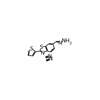 C#N.C#N.NN=Cc1ccc2nc(-c3cccs3)sc2c1